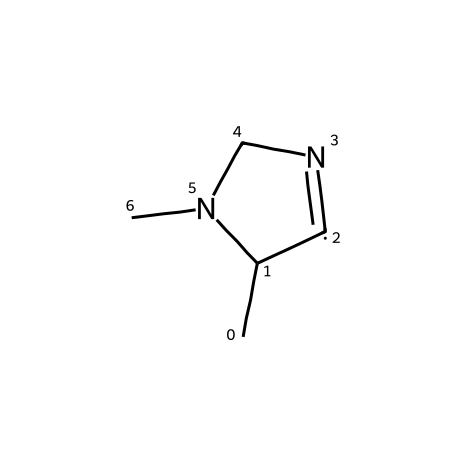 CC1[C]=NCN1C